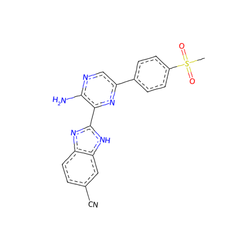 CS(=O)(=O)c1ccc(-c2cnc(N)c(-c3nc4ccc(C#N)cc4[nH]3)n2)cc1